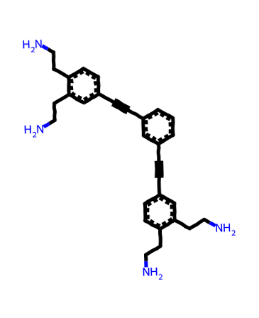 NCCc1ccc(C#Cc2cccc(C#Cc3ccc(CCN)c(CCN)c3)c2)cc1CCN